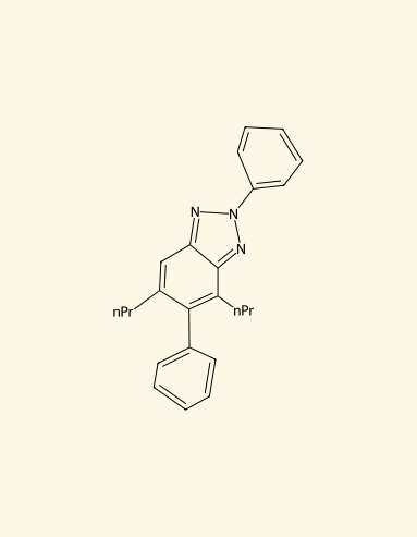 CCCc1cc2nn(-c3ccccc3)nc2c(CCC)c1-c1ccccc1